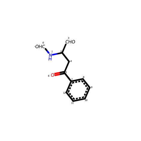 O=[C]NC(C=O)CC(=O)c1ccccc1